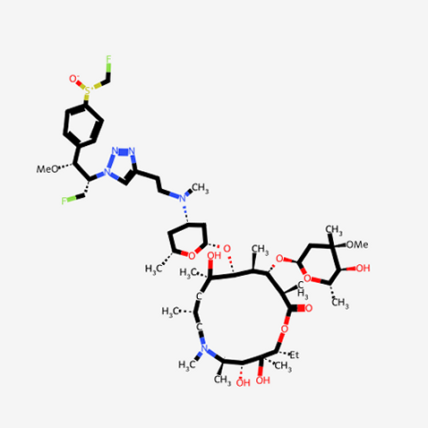 CC[C@H]1OC(=O)[C@H](C)[C@@H](O[C@H]2C[C@@](C)(OC)[C@@H](O)[C@H](C)O2)[C@H](C)[C@@H](O[C@H]2C[C@@H](N(C)CCc3cn([C@H](CF)[C@H](OC)c4ccc([S+]([O-])CF)cc4)nn3)C[C@@H](C)O2)[C@](C)(O)C[C@@H](C)CN(C)[C@H](C)[C@@H](O)[C@]1(C)O